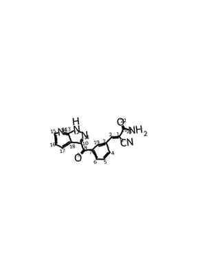 N#C/C(=C\c1cccc(C(=O)c2n[nH]c3ncccc23)c1)C(N)=O